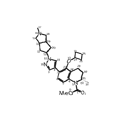 COC(=O)N1c2ccc(-c3cnn(C4CC5CN(C)CC5C4)c3)c(OC3CCC3)c2CC[C@@H]1C